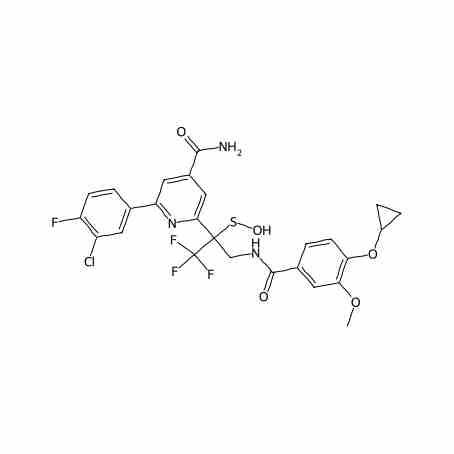 COc1cc(C(=O)NCC(SO)(c2cc(C(N)=O)cc(-c3ccc(F)c(Cl)c3)n2)C(F)(F)F)ccc1OC1CC1